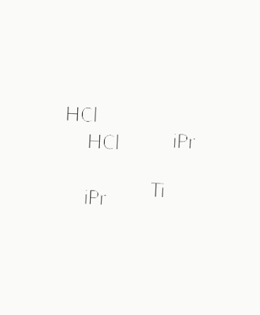 C[CH](C)[Ti][CH](C)C.Cl.Cl